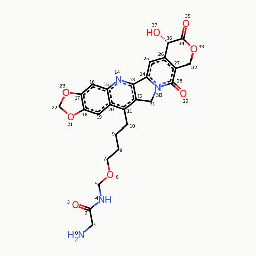 NCC(=O)NCOCCCCc1c2c(nc3cc4c(cc13)OCO4)-c1cc3c(c(=O)n1C2)COC(=O)[C@H]3O